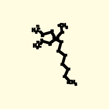 CCCCCCC[N+](CC)(CCC)CCC